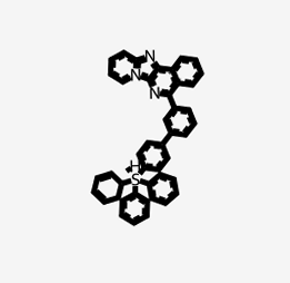 C[SH](c1ccccc1)(c1ccccc1)(c1ccc(-c2cccc(-c3nc4c(nc5ccccn54)c4ccccc34)c2)cc1)C1C=CC=CC1